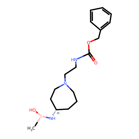 CB(O)N[C@H]1CCCN(CCNC(=O)OCc2ccccc2)CC1